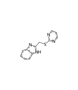 c1cnc(SCc2nc3ccccc3[nH]2)nc1